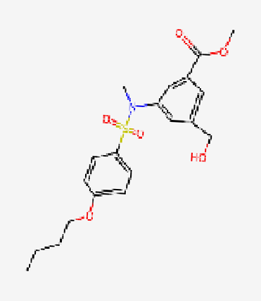 CCCCOc1ccc(S(=O)(=O)N(C)c2cc(CO)cc(C(=O)OC)c2)cc1